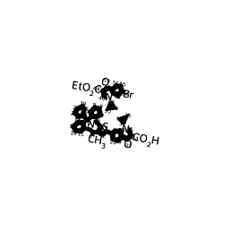 CC1CN(C(c2ccccc2)(c2ccccc2)c2ccccc2)Cc2sc(-c3ccc4c(=O)c(C(=O)O)cn(C5CC5)c4c3)cc21.CCOC(=O)c1cn(C2CC2)c2cc(Br)ccc2c1=O